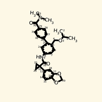 CC(C)OCc1ccc(NC(=O)C2(c3ccc4c(c3)OCO4)CC2)cc1-c1ccc(C(=O)N(C)C)cc1